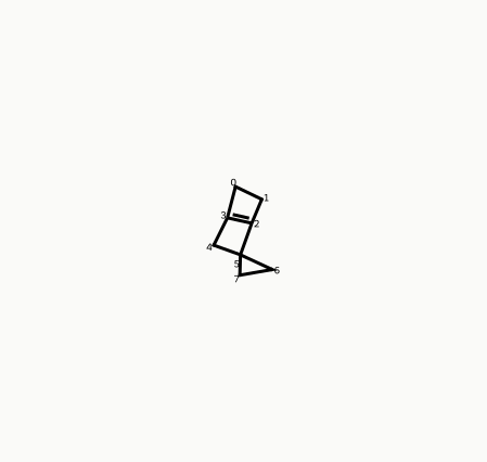 C1CC2=C1CC21CC1